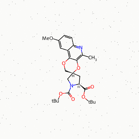 COc1ccc2nc(C)c3c(c2c1)OC[C@]1(C[C@@H](C(=O)OC(C)(C)C)N(C(=O)OC(C)(C)C)C1)O3